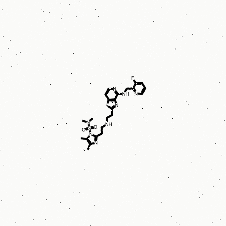 Cc1nc(CCNCCc2nc3c(NCc4ncccc4F)nccc3s2)n(S(=O)(=O)N(C)C)c1C